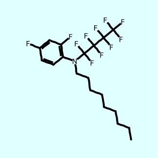 CCCCCCCCCN(c1ccc(F)cc1F)C(F)(F)C(F)(F)C(F)(F)C(F)(F)F